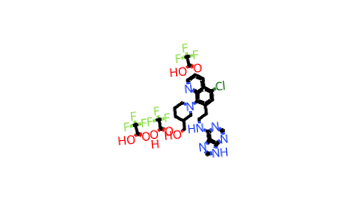 O=C(O)C(F)(F)F.O=C(O)C(F)(F)F.O=C(O)C(F)(F)F.OCC1CCCN(c2c(CCNc3ncnc4[nH]cnc34)cc(Cl)c3cccnc23)C1